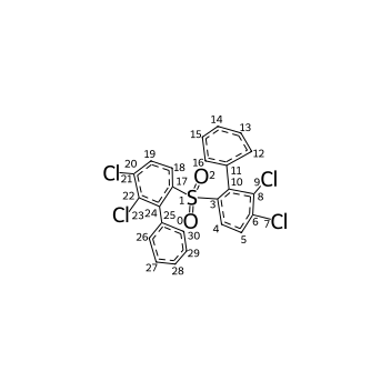 O=S(=O)(c1ccc(Cl)c(Cl)c1-c1ccccc1)c1ccc(Cl)c(Cl)c1-c1ccccc1